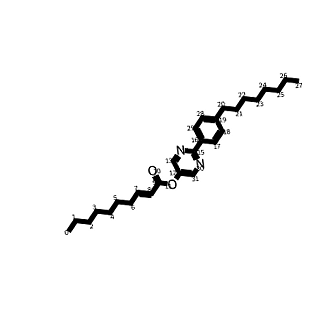 CCCCCCC/C=C/C(=O)Oc1cnc(-c2ccc(CCCCCCCC)cc2)nc1